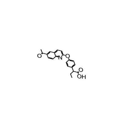 CCC(C(=O)O)c1ccc(Oc2ccc3cc(C(C)=O)ccc3n2)cc1